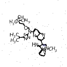 CN/C=C(\C(=N)c1ccccn1)c1cnc2ccc(N(COCC[Si](C)(C)C)c3nnc(C(C)C)s3)nc2c1